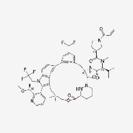 C=CC(=O)N1CC[C@H](C(=O)N(C)[C@H](C(=O)N[C@H]2Cc3cc(cc(C(F)F)c3)-c3ccc4c(c3)c(c(-c3cccnc3[C@H](C)OC)n4CC(F)(F)F)CC(C)(C)COCC3(C=O)CCCN(N3)C2=O)C(C)C)C1